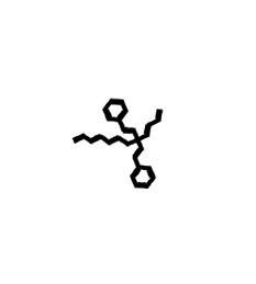 C=CC=CC=CCC(C=CC=C)(C=Cc1ccccc1)C=Cc1ccccc1